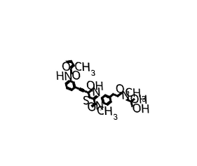 Cc1ccoc1C(=O)Nc1cccc(C#CC2C(=S)C(C(=O)N(C)c3ccc(CCC(=O)N(C)CC(O)CO)cc3)=CN=C2O)c1